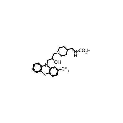 O=C(O)NCC1CCN(CC(O)CN2c3ccccc3Sc3ccc(C(F)(F)F)cc32)CC1